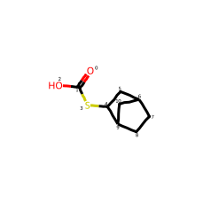 O=C(O)SC1CC2CCC1C2